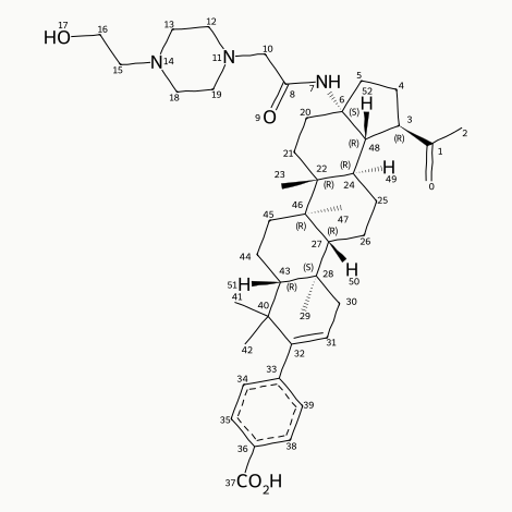 C=C(C)[C@@H]1CC[C@]2(NC(=O)CN3CCN(CCO)CC3)CC[C@]3(C)[C@H](CC[C@@H]4[C@@]5(C)CC=C(c6ccc(C(=O)O)cc6)C(C)(C)[C@@H]5CC[C@]43C)[C@@H]12